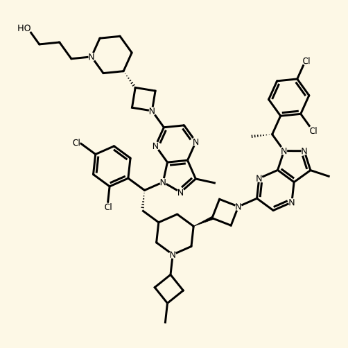 Cc1nn([C@H](C)c2ccc(Cl)cc2Cl)c2nc(N3CC([C@@H]4CC(C[C@H](c5ccc(Cl)cc5Cl)n5nc(C)c6ncc(N7CC([C@H]8CCCN(CCCO)C8)C7)nc65)CN(C5CC(C)C5)C4)C3)cnc12